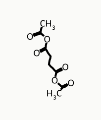 CC(=O)OC(=O)CCC(=O)OC(C)=O